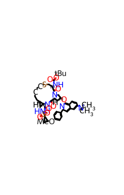 COc1ccc(-c2cc3cc(N(C)C)ccc3c(O[C@@H]3C[C@H]4C(=O)N[C@]5(C(=O)NS(=O)(=O)C6CC6)C[C@H]5CCCCCSC[C@H](NC(=O)OC(C)(C)C)C(=O)N4C3)n2)cc1